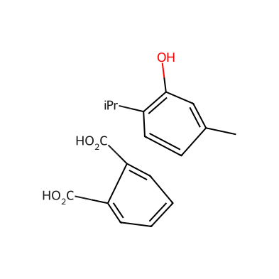 Cc1ccc(C(C)C)c(O)c1.O=C(O)c1ccccc1C(=O)O